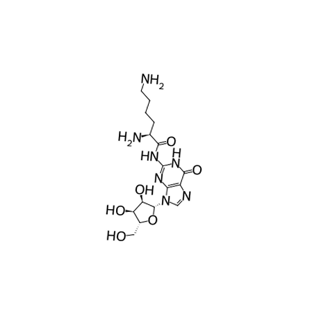 NCCCC[C@H](N)C(=O)Nc1nc2c(ncn2[C@@H]2O[C@H](CO)[C@@H](O)[C@H]2O)c(=O)[nH]1